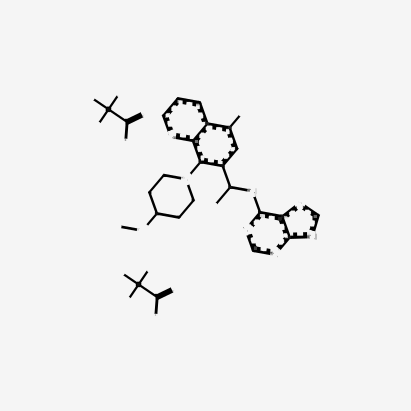 COC1CCN(c2c(C(C)Nc3ncnc4[nH]cnc34)cc(Cl)c3cccnc23)CC1.O=C(O)C(F)(F)F.O=C(O)C(F)(F)F